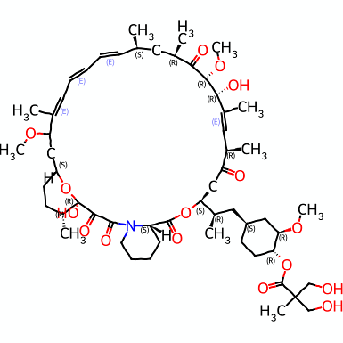 COC1C[C@@H]2CC[C@@H](C)[C@@](O)(O2)C(=O)C(=O)N2CCCC[C@H]2C(=O)O[C@H]([C@H](C)C[C@@H]2CC[C@@H](OC(=O)C(C)(CO)CO)[C@H](OC)C2)CC(=O)[C@H](C)/C=C(\C)[C@@H](O)[C@@H](OC)C(=O)[C@H](C)C[C@H](C)/C=C/C=C/C=C/1C